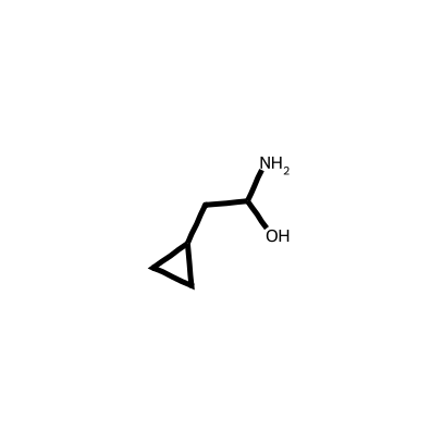 NC(O)CC1CC1